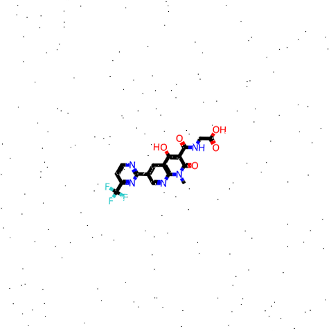 Cn1c(=O)c(C(=O)NCC(=O)O)c(O)c2cc(-c3nccc(C(F)(F)F)n3)cnc21